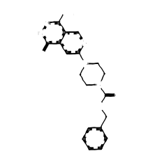 Cc1n[nH]c(=O)c2cc(N3CCN(C(=O)OCc4ccccc4)CC3)ncc12